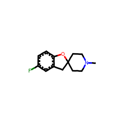 CN1CCC2(CC1)Cc1cc(F)ccc1O2